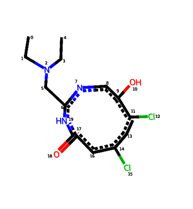 CCN(CC)Cc1ncc(O)c(Cl)cc(Cl)cc(=O)[nH]1